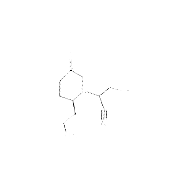 CCCC1CCC(=O)CN1C(C#N)CC